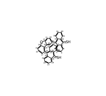 Sc1c2ccccc2c(-c2ccc3oc4cccc(-c5c6ccccc6c(S)c6ccccc56)c4c3c2)c2ccccc12